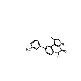 CC1CNc2c1c1cc(-c3cccc(C#N)c3)ccc1[nH]c2=O